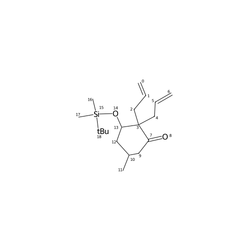 C=CCC1(CC=C)C(=O)CC(C)CC1O[Si](C)(C)C(C)(C)C